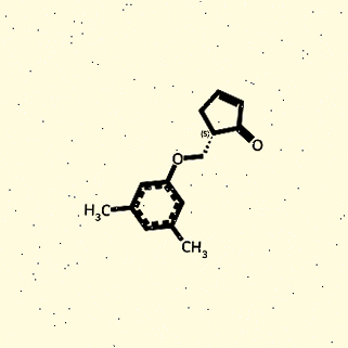 Cc1cc(C)cc(OC[C@@H]2CC=CC2=O)c1